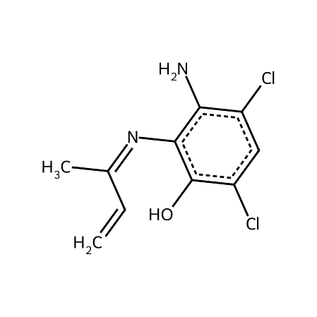 C=C/C(C)=N\c1c(N)c(Cl)cc(Cl)c1O